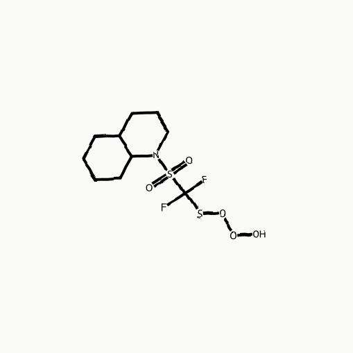 O=S(=O)(N1CCCC2CCCCC21)C(F)(F)SOOO